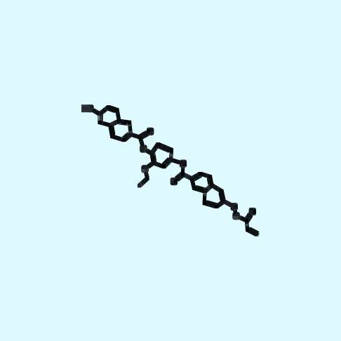 C=CC(=O)OOc1ccc2cc(C(=O)Oc3ccc(OC(=O)c4ccc5cc(O)ccc5c4)c(OCC)c3)ccc2c1